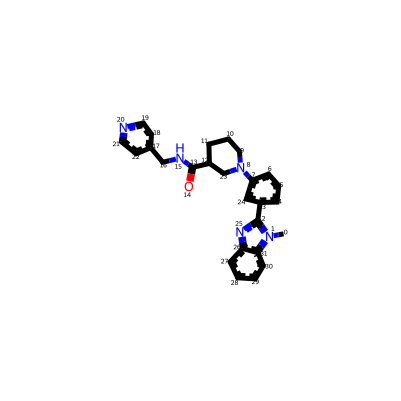 Cn1c(-c2cccc(N3CCCC(C(=O)NCc4ccncc4)C3)c2)nc2ccccc21